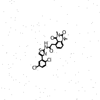 Cn1c(=O)c2c(CC(=O)Nc3nc(-c4cc(Cl)ccc4Cl)cs3)cccc2n(C)c1=O